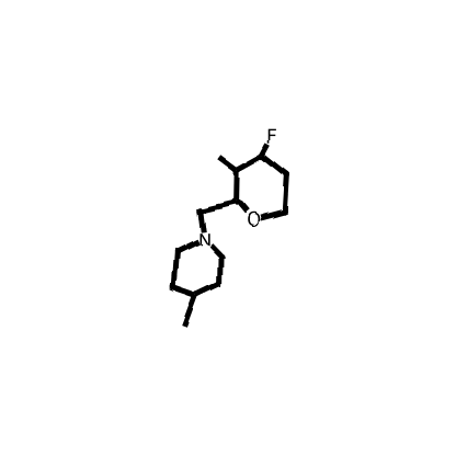 CC1CCN(CC2OCCC(F)C2C)CC1